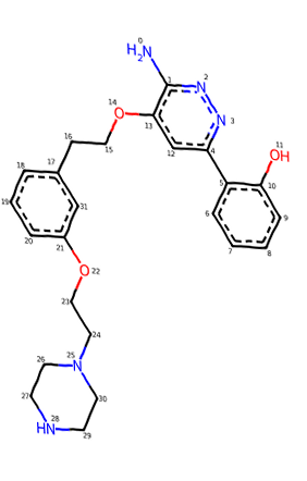 Nc1nnc(-c2ccccc2O)cc1OCCc1cccc(OCCN2CCNCC2)c1